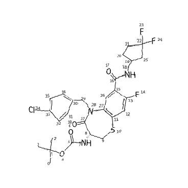 CC(C)(C)OC(=O)N[C@H]1CSc2cc(F)c(C(=O)NC3CCC(F)(F)C3)cc2N(Cc2ccc(Cl)cc2)C1=O